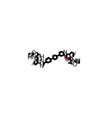 COC(=O)N[C@H](C(=O)N1C[C@@H](C)CC1c1nc2ccc(-c3ccc(-c4ccc(-c5cnc([C@@H]6C[C@H](C)CN6C(=O)[C@@H](NC(=O)OC)C(C)C)[nH]5)cc4)cc3)cc2n1C)C(C)C